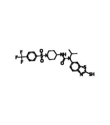 CC(C)N(C(=O)NC1CCN(S(=O)(=O)c2ccc(C(F)(F)F)cc2)CC1)c1ccc2nc(S)sc2c1